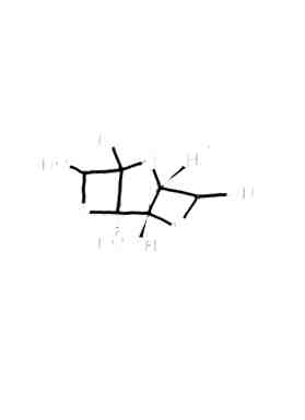 OC1S[C@@]2(O)[C@@H]1OC1(O)C(O)S[C@@]12O